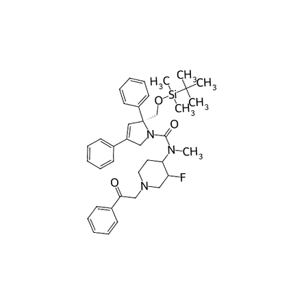 CN(C(=O)N1CC(c2ccccc2)=C[C@@]1(CO[Si](C)(C)C(C)(C)C)c1ccccc1)C1CCN(CC(=O)c2ccccc2)CC1F